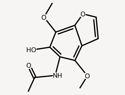 COc1c(NC(C)=O)c(O)c(OC)c2occc12